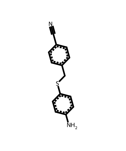 N#Cc1ccc(CSc2ccc(N)cc2)cc1